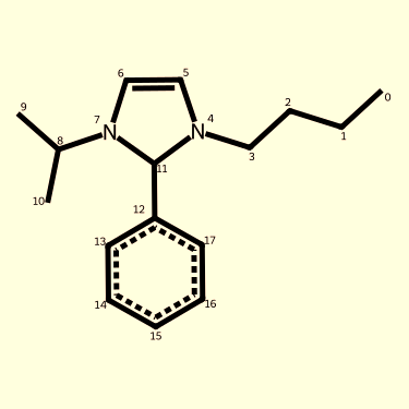 CCCCN1C=CN(C(C)C)C1c1ccccc1